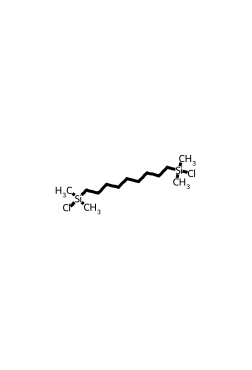 C[Si](C)(Cl)CCCCCCCCC[Si](C)(C)Cl